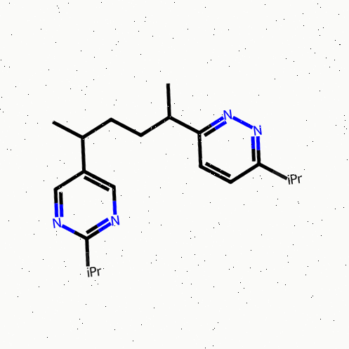 CC(C)c1ccc(C(C)CCC(C)c2cnc(C(C)C)nc2)nn1